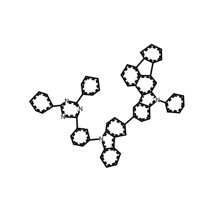 c1ccc(-c2nc(-c3ccccc3)nc(-c3cccc(-n4c5ccccc5c5cc(-c6ccc7c(c6)c6c8cccc9c8c(cc6n7-c6ccccc6)-c6ccccc6-9)ccc54)c3)n2)cc1